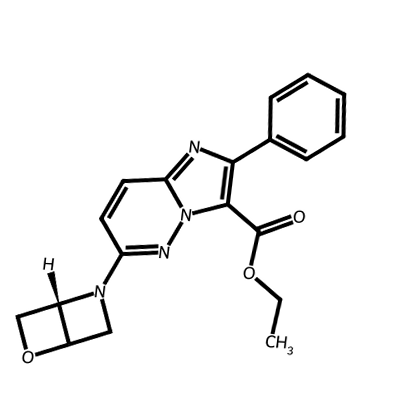 CCOC(=O)c1c(-c2ccccc2)nc2ccc(N3CC4OC[C@@H]43)nn12